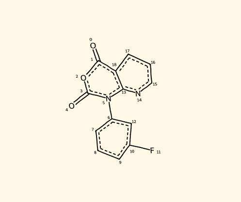 O=c1oc(=O)n(-c2cccc(F)c2)c2ncccc12